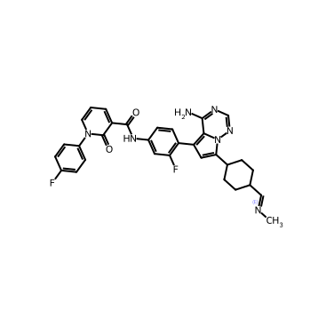 C/N=C/C1CCC(c2cc(-c3ccc(NC(=O)c4cccn(-c5ccc(F)cc5)c4=O)cc3F)c3c(N)ncnn23)CC1